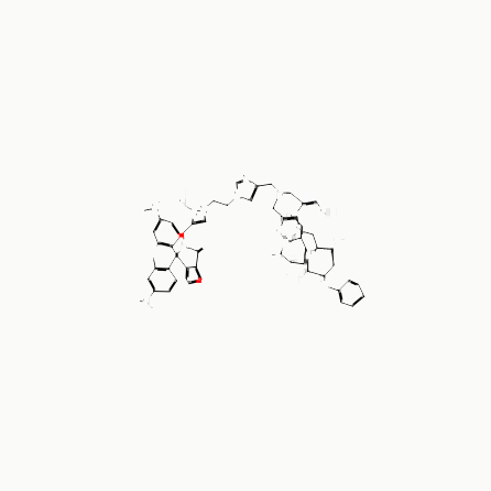 CCN(CC)c1ccc2c(c1)Oc1cc(N(CC)CC)ccc1C21c2ccccc2C(=O)N1Cc1cn(CCn2cnc(CN(C/C(=C/N)NCC3O[C@H](O)[C@@H](O)C[C@H]3O)Cc3cn(CC4O[C@H](C)[C@@H](Oc5ccccc5)C[C@H]4O)nn3)c2)n1N